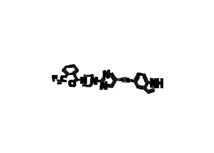 O=C(c1ccccc1C(F)(F)F)N1CCN(c2ncc(C#Cc3ccc4[nH]ccc4c3)cn2)CC1